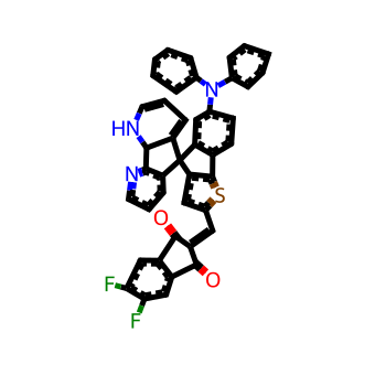 O=C1C(=Cc2cc3c(s2)-c2ccc(N(c4ccccc4)c4ccccc4)cc2C32C3=CC=CNC3c3ncccc32)C(=O)c2cc(F)c(F)cc21